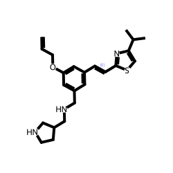 C=CCOc1cc(/C=C/c2nc(C(C)C)cs2)cc(CNCC2CCNC2)c1